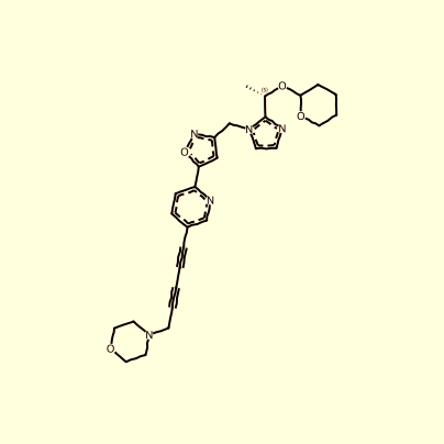 C[C@H](OC1CCCCO1)c1nccn1Cc1cc(-c2ccc(C#CC#CCN3CCOCC3)cn2)on1